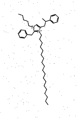 CCCCCCCCCCCCCCCCCCC[n+]1c(CC(C)c2ccccc2)cn(CCCCC)c1Cc1ccccc1